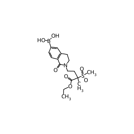 CCOC(=O)C(C)(CCN1CCc2cc(B(O)O)ccc2C1=O)S(C)(=O)=O